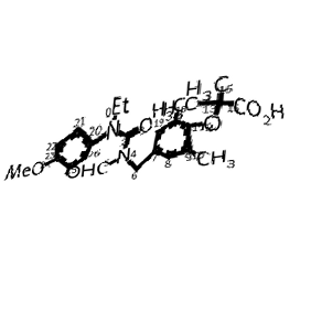 CCN(C(=O)N(C=O)Cc1cc(C)c(OC(C)(C)C(=O)O)c(C)c1)c1ccc(OC)cc1